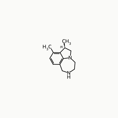 Cc1ccc2c3c1[C@@H](C)CN3CCNC2